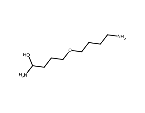 NCCCCOCCCC(N)O